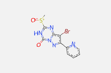 C[S+]([O-])c1nc2c(Br)c(-c3ccccn3)nn2c(=O)[nH]1